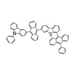 c1ccc(-c2c3ccccc3c(-c3cccc4c3sc3cc(-c5c6ccccc6c(-c6ccc7c(c6)c6ccccc6n7-c6ccccc6)c6ccccc56)ccc34)c3ccccc23)cc1